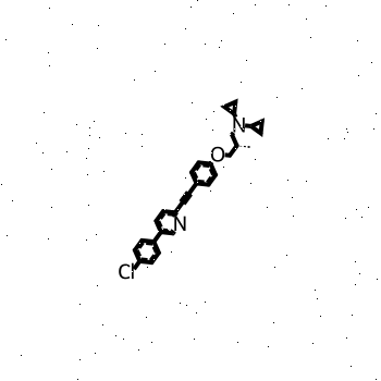 C[C@H](COc1ccc(C#Cc2ccc(-c3ccc(Cl)cc3)cn2)cc1)CN(C1CC1)C1CC1